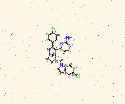 Nc1nccc(-c2c(-c3ccc(F)cc3)nc3n2[C@H](Cn2ccc4cc(Cl)ccc42)CC3)n1